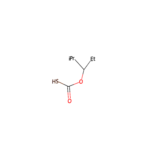 CCC(OC(=O)S)C(C)C